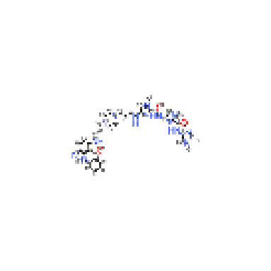 Cc1nc(NC(=O)c2nc(NC(=O)c3nc(NCCCN4CCN(CCCNc5ccc6ncn7c8ccccc8c(=O)c5c67)CC4)cn3C)cn2C)cn1C